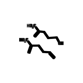 C=C(CCCO)C(=O)O.C=CCCC(=C)C(=O)O